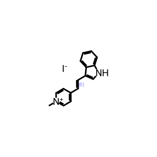 C[n+]1ccc(/C=C/c2c[nH]c3ccccc23)cc1.[I-]